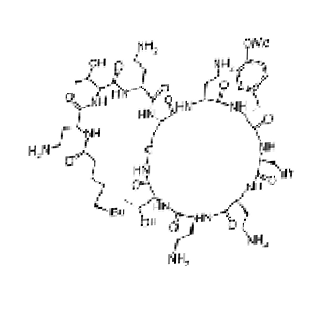 CC[C@H](C)CCCCC(=O)N[C@@H](CCN)C(=O)N[C@H](C(=O)N[C@@H](CCN)C(=O)N[C@H]1CCNC(=O)[C@H]([C@@H](C)O)NC(=O)[C@H](CCN)NC(=O)[C@H](CCN)NC(=O)[C@H](CC(C)C)NC(=O)[C@@H](Cc2ccc(OC)cc2)NC(=O)[C@H](CCN)NC1=O)[C@@H](C)O